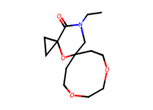 CCN1CC2(CCOCCOCC2)OC2(CC2)C1=O